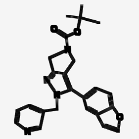 CC(C)(C)OC(=O)N1Cc2nn(Cc3cccnc3)c(-c3ccc4occc4c3)c2C1